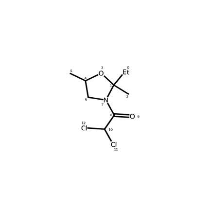 CCC1(C)OC(C)CN1C(=O)C(Cl)Cl